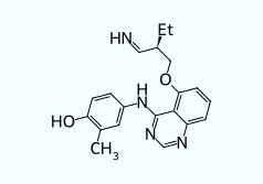 CC[C@H](C=N)COc1cccc2ncnc(Nc3ccc(O)c(C)c3)c12